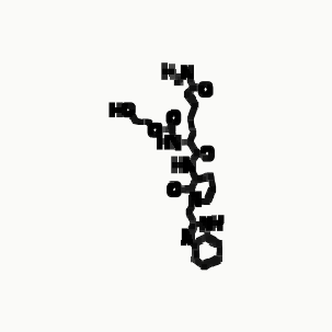 NC(=O)/C=C/CCC(NC(=O)OCCO)C(=O)Nc1cccn(Cc2nc3ccccc3[nH]2)c1=O